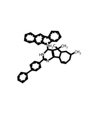 CC1CC=CC2C3=C(C(n4c5ccccc5c5cc6ccccc6cc54)NC(c4ccc(-c5ccccc5)cc4)=N3)C(C)(C)C2C1